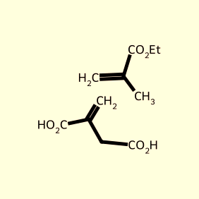 C=C(CC(=O)O)C(=O)O.[CH2]COC(=O)C(=C)C